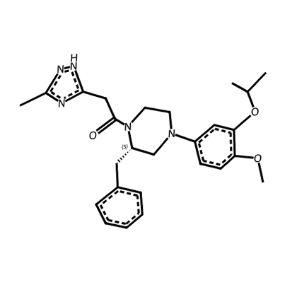 COc1ccc(N2CCN(C(=O)Cc3nc(C)n[nH]3)[C@@H](Cc3ccccc3)C2)cc1OC(C)C